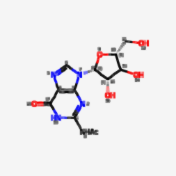 CC(=O)Nc1nc2c(ncn2[C@@H]2O[C@H](CO)C(O)[C@@H]2O)c(=O)[nH]1